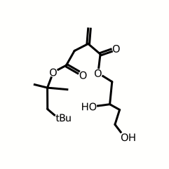 C=C(CC(=O)OC(C)(C)CC(C)(C)C)C(=O)OCC(O)CCO